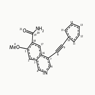 COc1cc2cncc(C#Cc3ccccc3)c2cc1C(N)=O